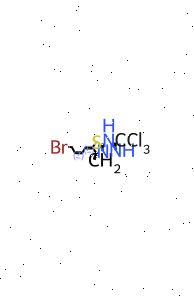 C=c1nc(NC(=N)C(Cl)(Cl)Cl)s/c1=C/C=C\CBr